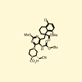 COC(=O)C1(Cc2nc(SC)nc(N3CCN(C(=O)O)[C@@H](CC#N)C3)c2NC(=O)OC(C)(C)C)CCCc2c(Cl)ccc(F)c21